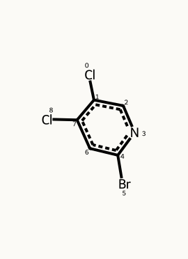 Clc1cnc(Br)cc1Cl